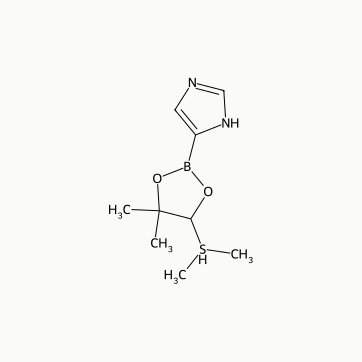 C[SH](C)C1OB(c2cnc[nH]2)OC1(C)C